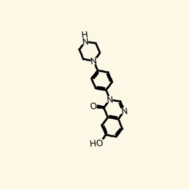 O=c1c2cc(O)ccc2ncn1-c1ccc(N2CCNCC2)cc1